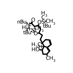 CCCCNC(=O)CC(CC(CCC1(C)CC=CC2=CC(C)CC(O)[C@@H]21)O[Si](C)(C)C(C)(C)C)O[Si](C)(C)C(C)(C)C